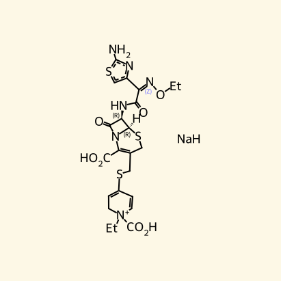 CCO/N=C(\C(=O)N[C@@H]1C(=O)N2C(C(=O)O)=C(CSC3=CC[N+](CC)(C(=O)O)C=C3)CS[C@H]12)c1csc(N)n1.[NaH]